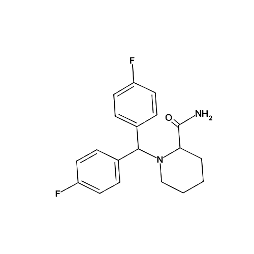 NC(=O)C1CCCCN1C(c1ccc(F)cc1)c1ccc(F)cc1